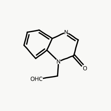 O=CCn1c(=O)cnc2ccccc21